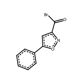 O=C(Br)c1cc(-c2ccccc2)on1